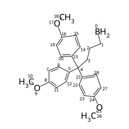 BCCCC(c1ccc(OC)cc1)(c1ccc(OC)cc1)c1ccc(OC)cc1